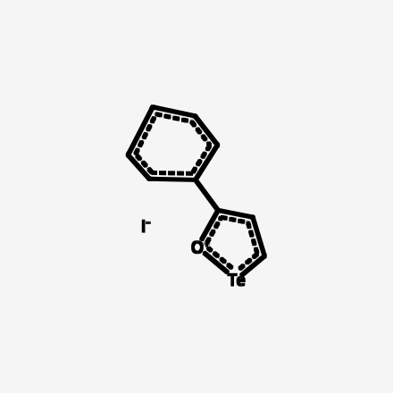 [I-].c1ccc(-c2cc[te][o+]2)cc1